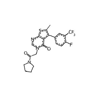 Cc1sc2ncn(CC(=O)N3CCCC3)c(=O)c2c1-c1ccc(F)c(C(F)(F)F)c1